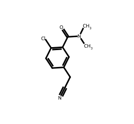 CN(C)C(=O)c1cc(CC#N)ccc1Cl